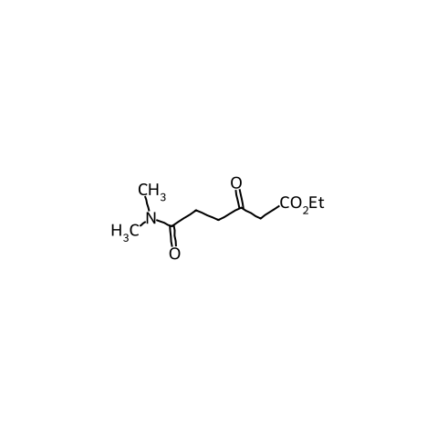 CCOC(=O)CC(=O)CCC(=O)N(C)C